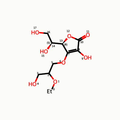 CCOC(CO)COC1=C(O)C(=O)O[C@@H]1[C@@H](O)CO